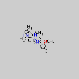 COc1cc(C)ccc1-c1ccc(N(C)C2CC(C)(C)NC(C)(C)C2)nn1